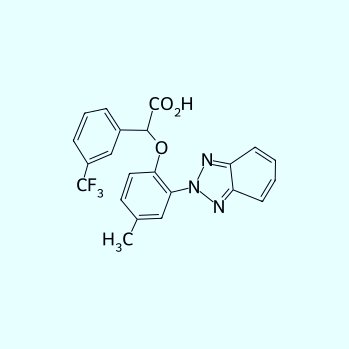 Cc1ccc(OC(C(=O)O)c2cccc(C(F)(F)F)c2)c(-n2nc3ccccc3n2)c1